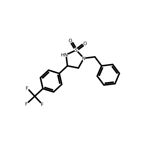 O=S1(=O)NC(c2ccc(C(F)(F)F)cc2)CN1Cc1ccccc1